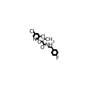 CC[C@@H](Oc1ncc(Cl)cc1Cl)C(=O)NCCc1ccc(F)cc1